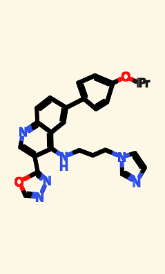 CC(C)Oc1ccc(-c2ccc3ncc(-c4nnco4)c(NCCCn4ccnc4)c3c2)cc1